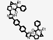 CCN(C1CC1)C(C(=O)N1CCCC1c1ncc(-c2ccc(-c3ccc(-c4cnc(C5CCCN5C(=O)C(c5ccccc5)N(CC)C5CC5)[nH]4)cc3)cc2)[nH]1)c1ccccc1